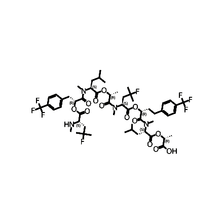 CN[C@@H](CC(C)(C)F)C(=O)O[C@H](Cc1ccc(C(F)(F)F)cc1)C(=O)N(C)[C@@H](CC(C)C)C(=O)O[C@H](C)C(=O)N(C)[C@@H](CC(C)(C)F)C(=O)O[C@H](CCc1ccc(C(F)(F)F)cc1)C(=O)N(C)[C@@H](CC(C)C)C(=O)O[C@H](C)C(=O)O